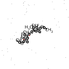 C=Cc1ccc(Oc2ccc(C3(c4ccc(F)c(F)c4)c4ccccc4-c4ccc(N(c5ccc(-c6ccc(N(c7ccc(F)c(C)c7)c7ccc8c(c7)[C@](c7ccc(Oc9ccc(C=C)cc9)cc7)(c7ccc(F)c(F)c7)c7ccccc7-8)cc6)cc5)c5ccc(F)c(C)c5)cc43)cc2)cc1